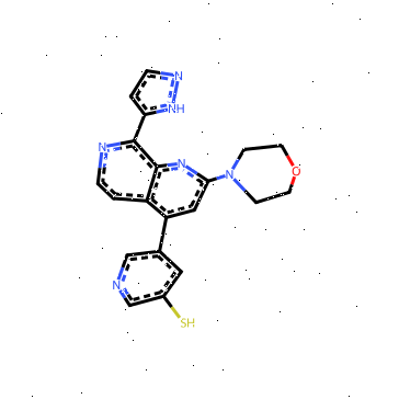 Sc1cncc(-c2cc(N3CCOCC3)nc3c(-c4ccn[nH]4)nccc23)c1